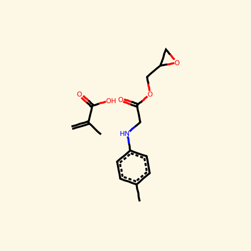 C=C(C)C(=O)O.Cc1ccc(NCC(=O)OCC2CO2)cc1